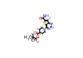 CC1(C)COC(C2CCN(c3ncnc4cc(C(N)=O)sc34)CC2)OC1